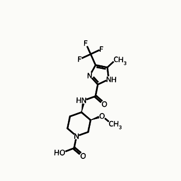 CO[C@H]1CN(C(=O)O)CC[C@H]1NC(=O)c1nc(C(F)(F)F)c(C)[nH]1